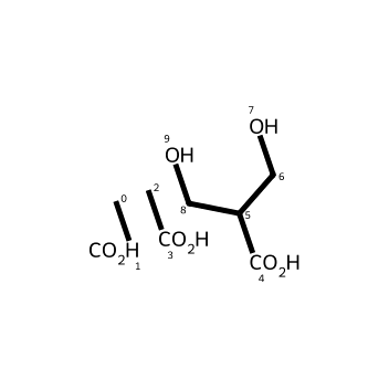 CC(=O)O.CC(=O)O.O=C(O)C(CO)CO